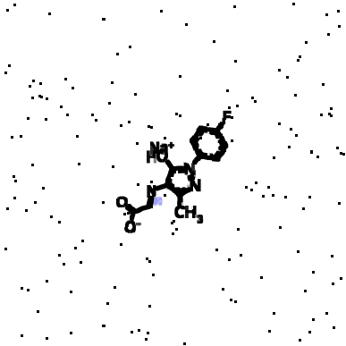 Cc1nn(-c2ccc(F)cc2)c(O)c1/N=C/C(=O)[O-].[Na+]